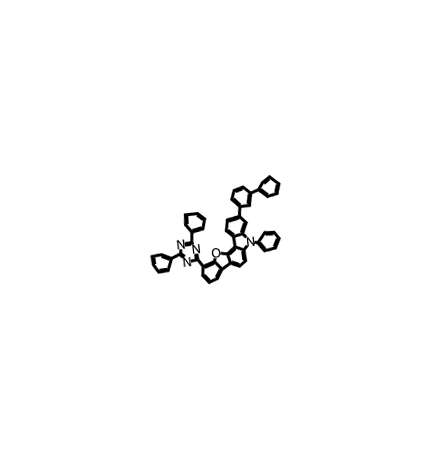 c1ccc(-c2cccc(-c3ccc4c5c6oc7c(-c8nc(-c9ccccc9)nc(-c9ccccc9)n8)cccc7c6ccc5n(-c5ccccc5)c4c3)c2)cc1